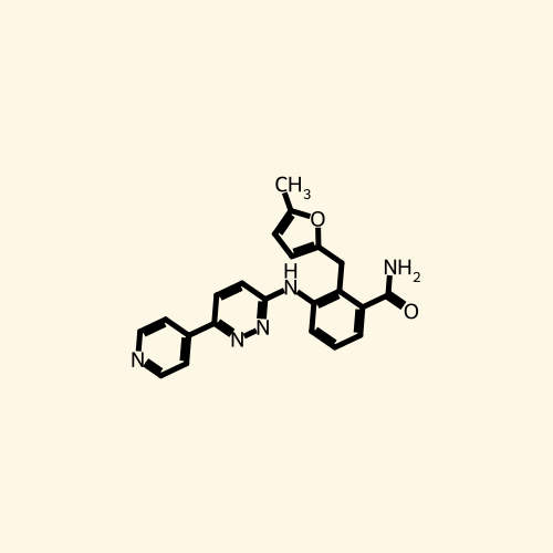 Cc1ccc(Cc2c(Nc3ccc(-c4ccncc4)nn3)cccc2C(N)=O)o1